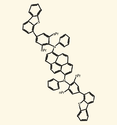 CCCc1cc(-c2cccc3c2sc2ccccc23)cc(CCC)c1N(c1ccccc1)c1ccc2ccc3c(N(c4ccccc4)c4c(CCC)cc(-c5cccc6c5sc5ccccc56)cc4CCC)ccc4ccc1c2c43